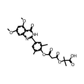 COc1cc(OC)c2c(=O)[nH]c(-c3cc(C)c(OC(=O)CC(=O)OC(C)(C)C(=O)O)c(C)c3)nc2c1